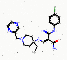 N#CCC1(N/C=C(\C(=N)Nc2ccc(F)cc2)C(N)=O)CCN(Cc2cnccn2)CC1